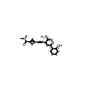 CN(C)C(=O)C12CC(C#Cc3cc(-c4ccccc4O)nnc3N)(C1)C2